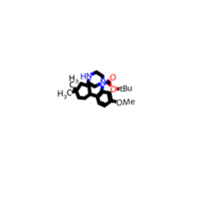 COc1ccc(C2CCC(C)(C)CC2)c([N+]2(C(=O)OC(C)(C)C)CCNCC2)c1